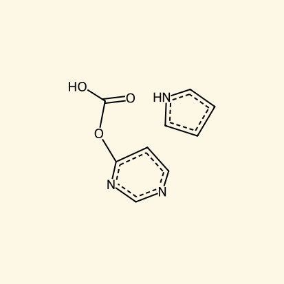 O=C(O)Oc1ccncn1.c1cc[nH]c1